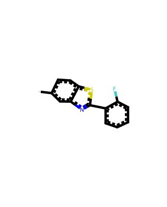 [CH2]c1ccc2sc(-c3ccccc3F)nc2c1